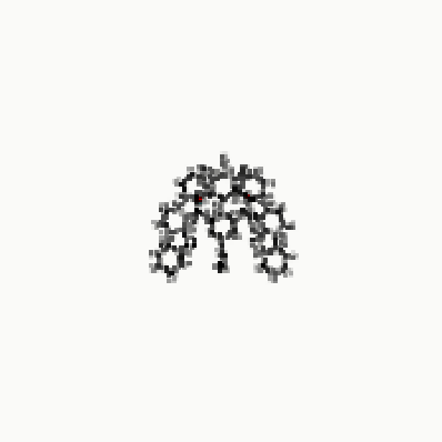 N#Cc1cc(-n2c3ccccc3c3ccc4c5ccccc5oc4c32)c(-c2c(F)c(F)c(F)c(F)c2F)c(-n2c3ccccc3c3ccc4c5ccccc5oc4c32)c1